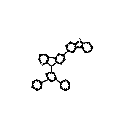 c1ccc(-c2cc(-c3ccccc3)nc(C3c4ccc(-c5ccc6oc7ccccc7c6c5)cc4-c4cccnc43)c2)cc1